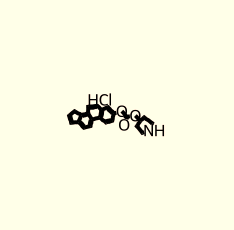 Cl.O=C(Oc1ccc2c(ccc3c4c(ccc32)C=CC4)c1)OC1CCNCC1